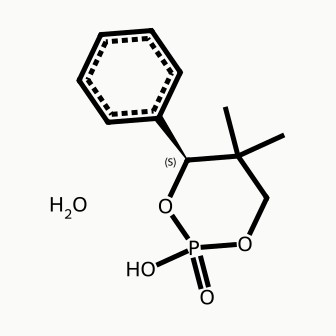 CC1(C)COP(=O)(O)O[C@H]1c1ccccc1.O